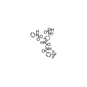 CC(C)(C)N(C(=O)O)C1CC[C@H](NC(=O)CNC(=O)c2cccc(C(F)(F)F)c2)[C@H](COC(=O)Nc2ccccc2)C1